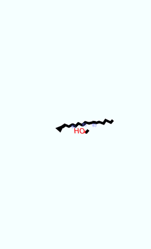 CCCCC/C=C/C/C=C/C/C=C/CC=C1CC1.CCO